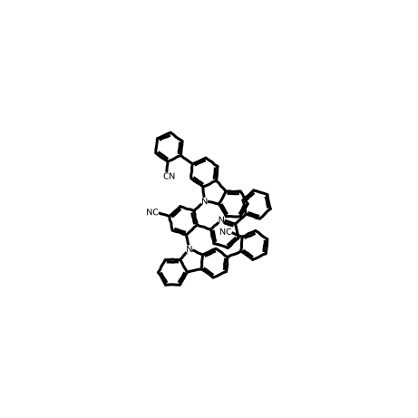 N#Cc1cc(-n2c3ccccc3c3ccc(-c4ccccc4C#N)cc32)c(-c2cccc(-c3ccccc3)n2)c(-n2c3ccccc3c3ccc(-c4ccccc4C#N)cc32)c1